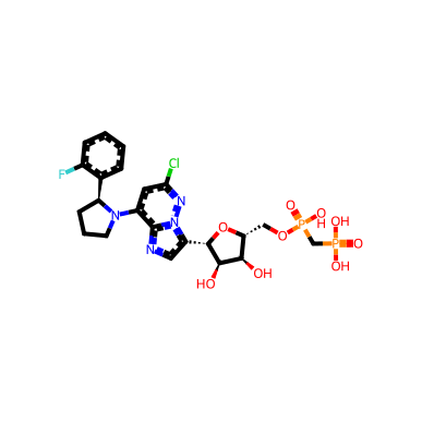 O=P(O)(O)CP(=O)(O)OC[C@H]1O[C@@H](c2cnc3c(N4CCC[C@H]4c4ccccc4F)cc(Cl)nn23)[C@H](O)[C@@H]1O